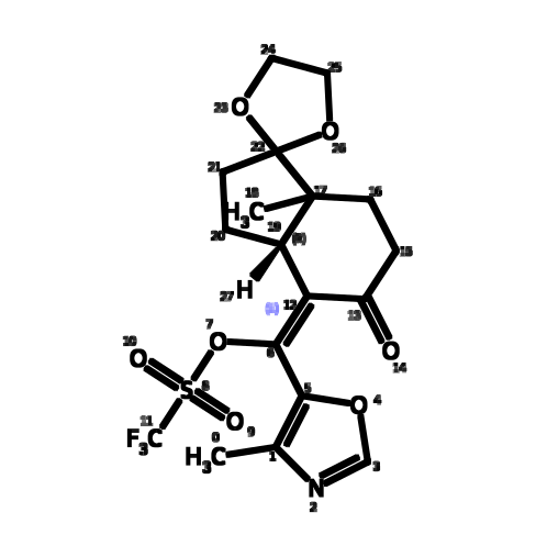 Cc1ncoc1/C(OS(=O)(=O)C(F)(F)F)=C1\C(=O)CCC2(C)[C@H]1CCC21OCCO1